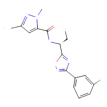 CC(=O)NC[C@H](NC(=O)c1cc(C(F)(F)F)nn1C)c1nc(-c2cccc(F)c2)no1